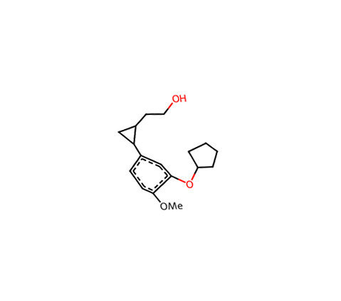 COc1ccc(C2CC2CCO)cc1OC1CCCC1